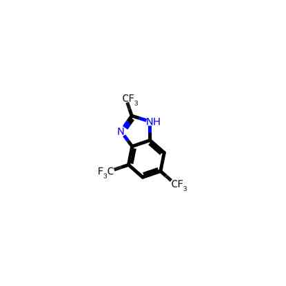 FC(F)(F)c1cc(C(F)(F)F)c2nc(C(F)(F)F)[nH]c2c1